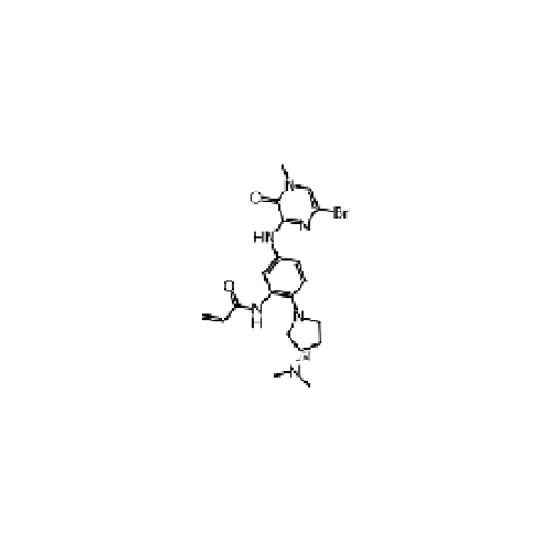 C=CC(=O)Nc1cc(Nc2nc(Br)cn(C)c2=O)ccc1N1CC[C@H](N(C)C)C1